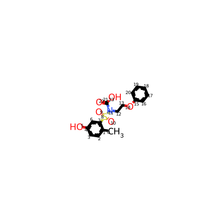 Cc1ccc(O)cc1S(=O)(=O)N(CCOc1ccccc1)C(=O)O